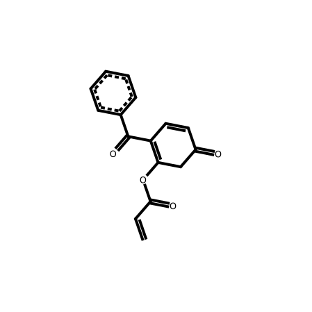 C=CC(=O)OC1=C(C(=O)c2ccccc2)C=CC(=O)C1